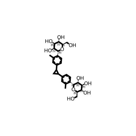 Cc1cc(C2CC2c2ccc([C@H]3O[C@H](CO)[C@@H](O)[C@H](O)[C@@H]3O)c(C)c2)ccc1[C@H]1O[C@H](CO)[C@@H](O)[C@H](O)[C@H]1O